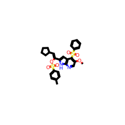 COc1cnc2[nH]c(C(=CC3CCCC3)OS(=O)(=O)c3ccc(C)cc3)cc2c1S(=O)(=O)c1ccccc1